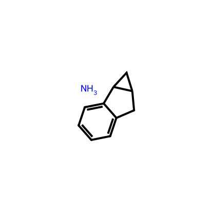 N.c1ccc2c(c1)CC1CC21